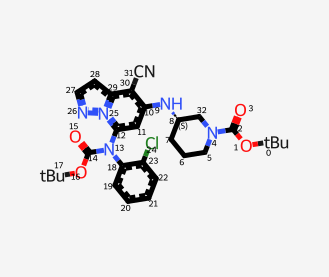 CC(C)(C)OC(=O)N1CCC[C@H](Nc2cc(N(C(=O)OC(C)(C)C)c3ccccc3Cl)n3nccc3c2C#N)C1